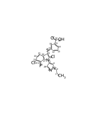 CCCn1cc(-n2c(Cl)c(Sc3cccc(C(=O)O)c3)c3ccc(Cl)c(F)c32)cn1